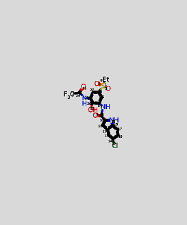 CCS(=O)(=O)c1cc(NC(=O)c2cc3cc(Cl)ccc3[nH]2)c(O)c(NC(=O)C(F)(F)F)c1